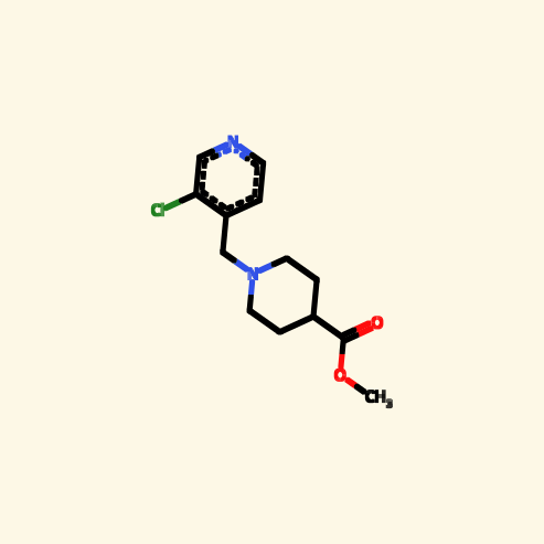 COC(=O)C1CCN(Cc2ccncc2Cl)CC1